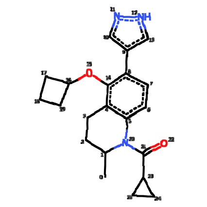 CC1CCc2c(ccc(-c3cn[nH]c3)c2OC2CCC2)N1C(=O)C1CC1